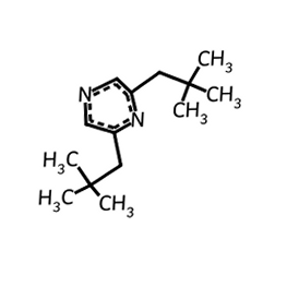 CC(C)(C)Cc1cncc(CC(C)(C)C)n1